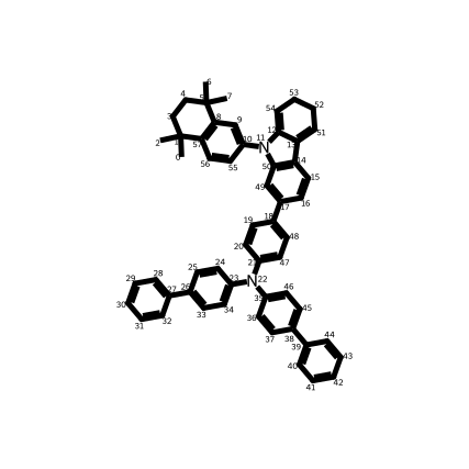 CC1(C)CCC(C)(C)c2cc(-n3c4c(c5ccc(-c6ccc(N(c7ccc(-c8ccccc8)cc7)c7ccc(-c8ccccc8)cc7)cc6)cc53)=CCCC=4)ccc21